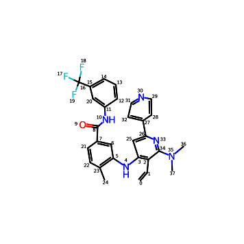 C=Cc1c(Nc2cc(C(=O)Nc3cccc(C(F)(F)F)c3)ccc2C)cc(-c2ccncc2)nc1N(C)C